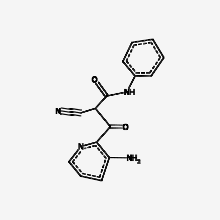 N#CC(C(=O)Nc1ccccc1)C(=O)c1ncccc1N